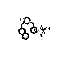 CC(C)(C)OC=O.c1ccc(CN2CCNC(Cc3ccc4ccccc4c3)C2)cc1